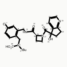 CC(C)(C)N(Cc1ccc(Cl)cc1CNC(=O)[C@@H]1CCN1C(=O)C1(O)CCc2ncccc21)C(=O)O